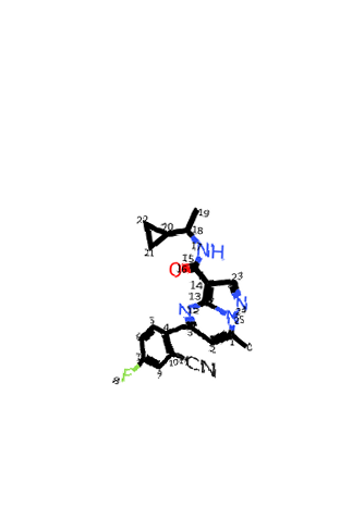 Cc1cc(-c2ccc(F)cc2C#N)nc2c(C(=O)NC(C)C3CC3)cnn12